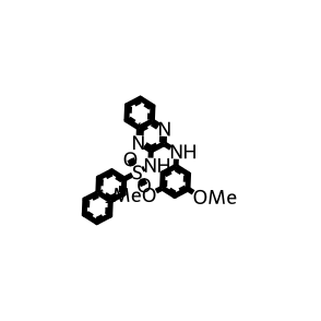 COc1cc(Nc2nc3ccccc3nc2NS(=O)(=O)c2ccc3ccccc3c2)cc(OC)c1